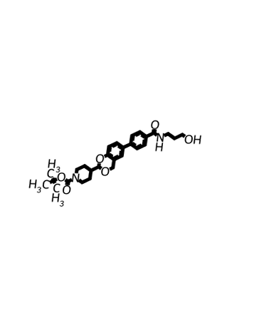 CC(C)(C)OC(=O)N1CCC(C2OCc3cc(-c4ccc(C(=O)NCCCO)cc4)ccc3O2)CC1